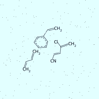 C=C(Cl)C=CC#N.C=CC=C.C=Cc1ccccc1